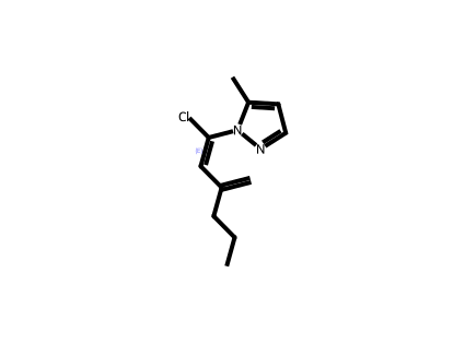 C=C(/C=C(/Cl)n1nccc1C)CCC